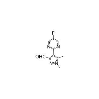 Cc1c(-c2ncc(F)cn2)c(C=O)nn1C